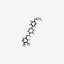 CCc1ccc(C2CCC(CCc3cnc(Cl)c(Cl)c3)CC2)cc1